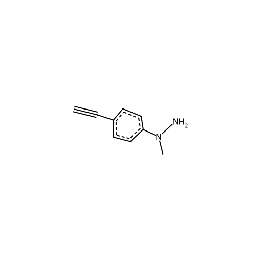 C#Cc1ccc(N(C)N)cc1